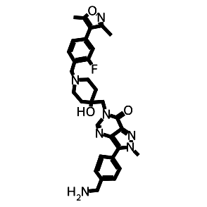 Cc1noc(C)c1-c1ccc(CN2CCC(O)(Cn3cnc4c(-c5ccc(CN)cc5)n(C)nc4c3=O)CC2)c(F)c1